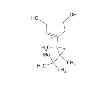 CC(C)(C)C(C)(C)C1(C)CC1(C)/C(=C/CO)CCO